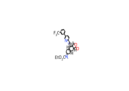 CCOC(=O)N(C)[C@@H]1CC[C@@H]2[C@@H](C1)C[C@H]1C(=O)O[C@H](C)[C@H]1[C@H]2/C=C/c1ccc(-c2cccc(C(F)(F)F)c2)cn1